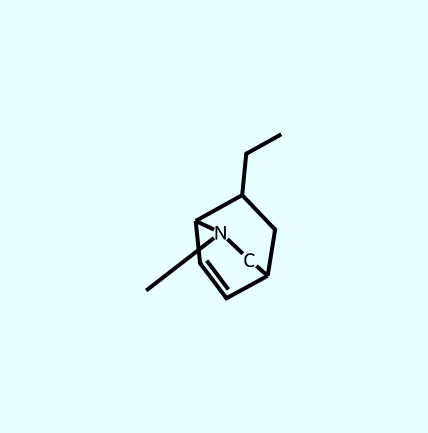 CCC1CC2C=CC1N(C)C2